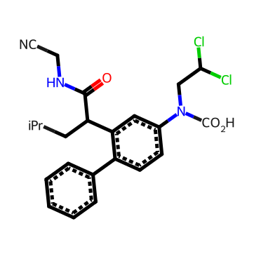 CC(C)CC(C(=O)NCC#N)c1cc(N(CC(Cl)Cl)C(=O)O)ccc1-c1ccccc1